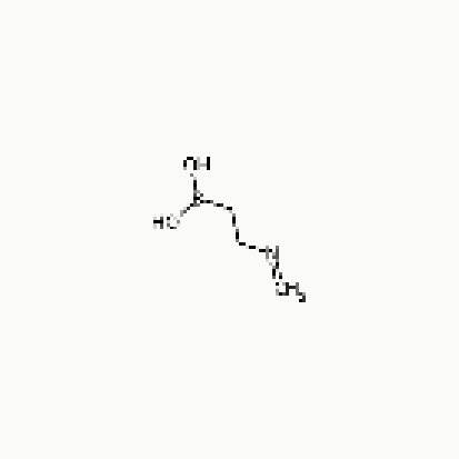 C=NCCB(O)O